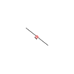 CCCC(C)C.CCCCCCCCCCCCCCCCOCCCCCCCCCCCCCCCC